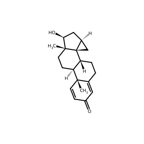 C[C@]12C=CC(=O)C=C1CC[C@@H]1[C@@H]2CC[C@]2(C)[C@@H](O)C[C@H]3C[C@@]312